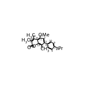 COc1cc(-c2ccc(C(C)C)cc2)c(C)c2oc(=O)c(C)c(C)c12